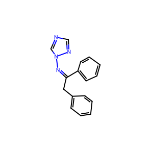 c1ccc(C/C(=N/n2cncn2)c2ccccc2)cc1